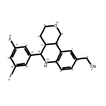 N#CCc1ccc2c(c1)C1COCCC1C(c1cc(F)cc(F)c1)N2